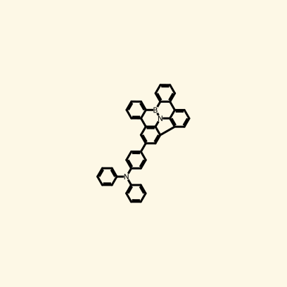 c1ccc(N(c2ccccc2)c2ccc(-c3cc4c5c(c3)c3cccc6c3n5B(c3ccccc3-6)c3ccccc3-4)cc2)cc1